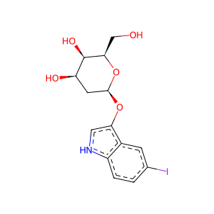 OC[C@H]1O[C@@H](Oc2c[nH]c3ccc(I)cc23)C[C@@H](O)[C@H]1O